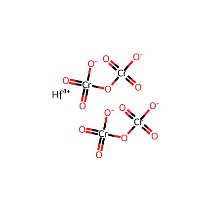 [Hf+4].[O]=[Cr](=[O])([O-])[O][Cr](=[O])(=[O])[O-].[O]=[Cr](=[O])([O-])[O][Cr](=[O])(=[O])[O-]